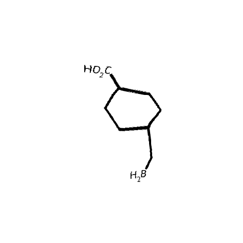 BCC1CCC(C(=O)O)CC1